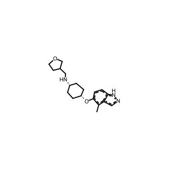 Cc1c(O[C@H]2CC[C@@H](NCC3CCOC3)CC2)ccc2[nH]ncc12